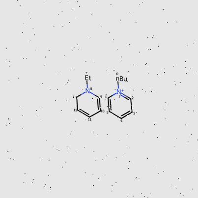 CCCC[n+]1ccccc1.CCN1C=CC=CC1